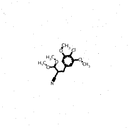 COc1cc(CC(C#N)C(OC)OC)cc(OC)c1Cl